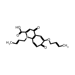 CC=CCOc1cc2c(=O)cc(C(=O)O)n(CC=CC)c2ccc1=O